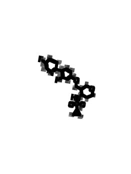 O=S(=O)(NC1CCOCC1COc1ccc(-c2ccc(F)cn2)c(F)c1)C1CC1